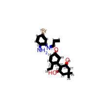 C=C/C(=N\c1cc(Br)ccc1N)Oc1ccc(CC)c(C2=C(O)CC(C)(C)CC2=O)c1